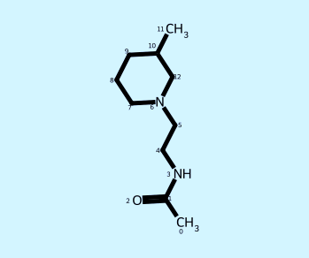 CC(=O)NCCN1CCCC(C)C1